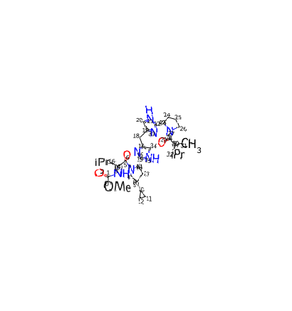 COC(=O)N[C@H](C(=O)N1C[C@@H](C2CC2)C[C@H]1c1nc(Cc2c[nH]c([C@@H]3CCCN3C(=O)[C@@H](C)C(C)C)n2)c[nH]1)C(C)C